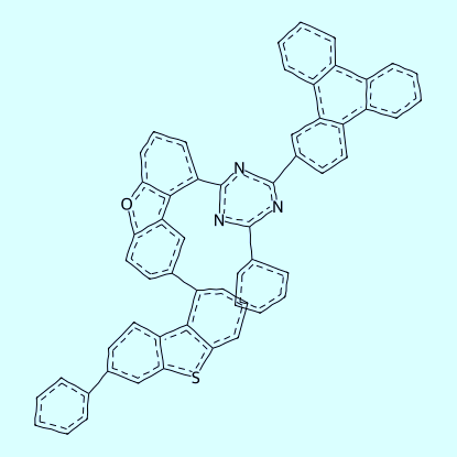 c1ccc(-c2ccc3c(c2)sc2cccc(-c4ccc5oc6cccc(-c7nc(-c8ccccc8)nc(-c8ccc9c%10ccccc%10c%10ccccc%10c9c8)n7)c6c5c4)c23)cc1